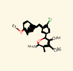 CCOc1ccc(Cc2cc(C3OC(SC)C(C)C(OC(C)=O)C3OC(C)=O)ccc2Cl)cc1